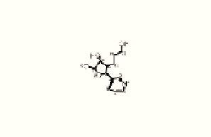 O=C1OC(c2cccnc2)C(CCCO)C1O